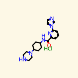 Cl.O=C(NC1CCC(N2CCNCC2)CC1)c1cccc(-n2ccnc2)n1